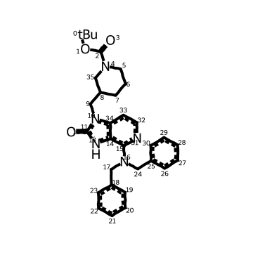 CC(C)(C)OC(=O)N1CCCC(Cn2c(=O)[nH]c3c(N(Cc4ccccc4)Cc4ccccc4)nccc32)C1